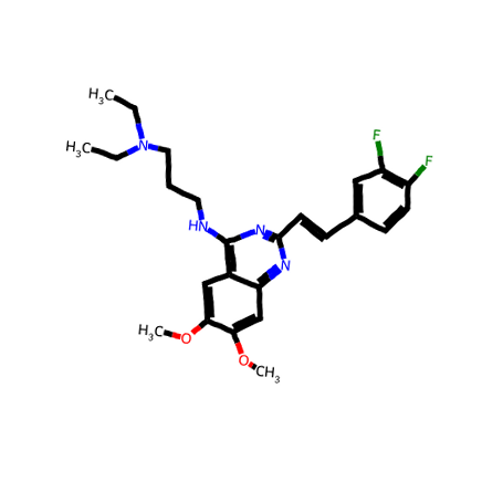 CCN(CC)CCCNc1nc(C=Cc2ccc(F)c(F)c2)nc2cc(OC)c(OC)cc12